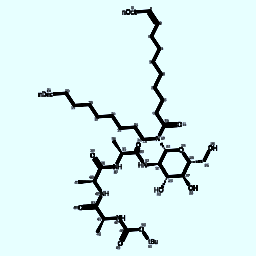 CCCCCCCC/C=C\CCCCCCCC(=O)N(CCCCCCCCCCCCCCCCCC)[C@@H]1O[C@H](CO)[C@@H](O)[C@H](O)[C@H]1NC(=O)[C@H](C)NC(=O)[C@H](C)NC(=O)[C@H](C)NC(=O)OC(C)(C)C